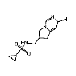 O=S(=O)(NCC1CC2=CC(I)N=CN2C1)C1CC1